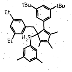 CCc1cc(CC)cc(CC2([SiH2]c3cc(C)cc(C)c3)C(C)=C(C)C(C)=C2c2cc(C(C)(C)C)cc(C(C)(C)C)c2)c1